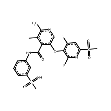 Cc1c(C(F)(F)F)nnc(Oc2c(F)cc(S(C)(=O)=O)nc2F)c1C(=O)Nc1cccc(S(C)(=N)=O)c1